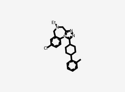 CCN1Cc2cc(Cl)ccc2-n2c(nnc2C2CCC(c3ccccc3C)CC2)C1